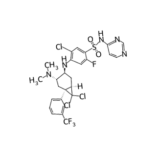 CN(C)[C@H]1C[C@@]2(c3cccc(C(F)(F)F)c3)[C@@H](C[C@@H]1Nc1cc(F)c(S(=O)(=O)Nc3ccncn3)cc1Cl)C2(Cl)Cl